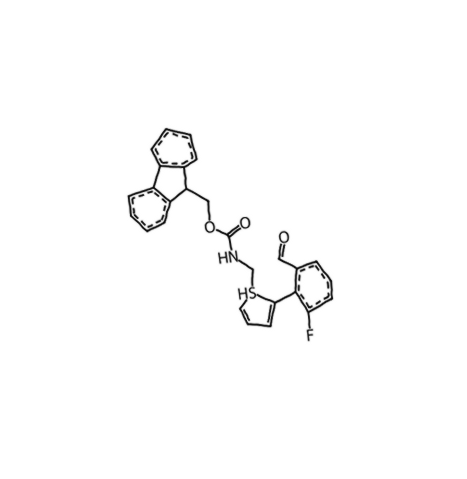 O=Cc1cccc(F)c1C1=CC=C[SH]1CNC(=O)OCC1c2ccccc2-c2ccccc21